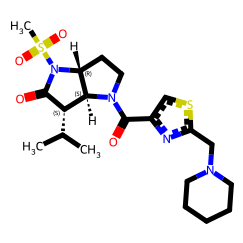 CC(C)[C@@H]1C(=O)N(S(C)(=O)=O)[C@@H]2CCN(C(=O)c3csc(CN4CCCCC4)n3)[C@H]21